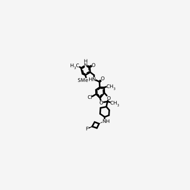 CSc1cc(C)[nH]c(=O)c1CNC(=O)c1cc(Cl)c2c(c1C)OC(C)(C1CCC(N[C@H]3C[C@H](F)C3)CC1)O2